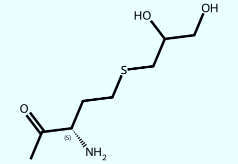 CC(=O)[C@@H](N)CCSCC(O)CO